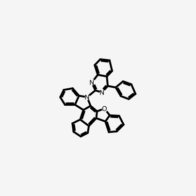 c1ccc(-c2nc(-n3c4ccccc4c4c5ccccc5c5c6ccccc6oc5c43)nc3ccccc23)cc1